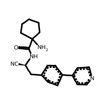 N#C[C@H](Cc1ccc(-c2ccncc2)cc1)NC(=O)C1(N)CCCCC1